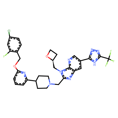 Fc1cc(Cl)ccc1COc1cccc(C2CCN(Cc3nc4cc(-c5nnc(C(F)(F)F)[nH]5)cnc4n3C[C@@H]3CCO3)CC2)n1